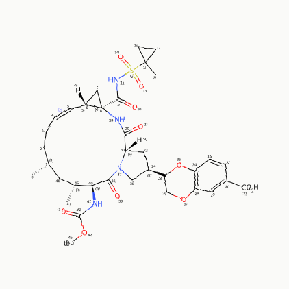 C[C@@H]1CC/C=C\[C@@H]2C[C@@]2(C(=O)NS(=O)(=O)C2(C)CC2)NC(=O)[C@@H]2C[C@@H](C3COc4cc(C(=O)O)ccc4O3)CN2C(=O)[C@@H](NC(=O)OC(C)(C)C)[C@H](C)C1